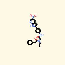 CCCN(CC(=O)Nc1ccc(-c2cc3cc([N+](=O)[O-])cnc3[nH]2)cc1)C(=O)Cc1ccccc1